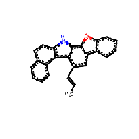 C/C=C/c1cc2c3ccccc3oc2c2[nH]c3ccc4ccccc4c3c12